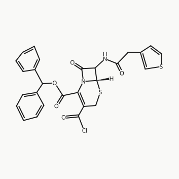 O=C(Cc1ccsc1)NC1C(=O)N2C(C(=O)OC(c3ccccc3)c3ccccc3)=C(C(=O)Cl)CS[C@@H]12